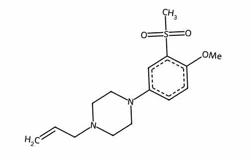 C=CCN1CCN(c2ccc(OC)c(S(C)(=O)=O)c2)CC1